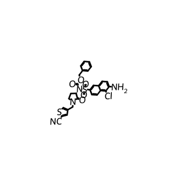 N#Cc1cc(CN2CC[C@H](N(C(=O)OCc3ccccc3)S(=O)(=O)c3ccc4c(Cl)c(N)ccc4c3)C2=O)cs1